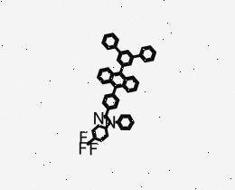 FC(F)(F)C1=CC2N=C(c3ccc(-c4c5ccccc5c(-c5cc(-c6ccccc6)cc(-c6ccccc6)c5)c5ccccc45)cc3)N(c3ccccc3)C2C=C1